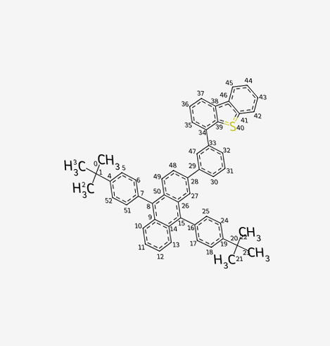 CC(C)(C)c1ccc(-c2c3ccccc3c(-c3ccc(C(C)(C)C)cc3)c3cc(-c4cccc(-c5cccc6c5sc5ccccc56)c4)ccc23)cc1